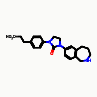 O=C(O)CCc1ccc(N2CCN(c3ccc4c(c3)CCCNC4)C2=O)cc1